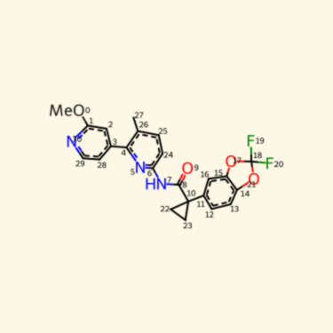 COc1cc(-c2nc(NC(=O)C3(c4ccc5c(c4)OC(F)(F)O5)CC3)ccc2C)ccn1